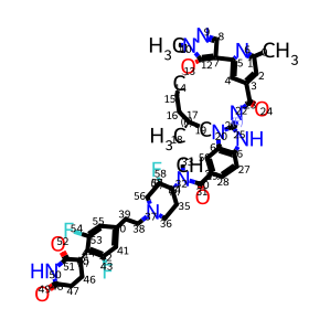 Cc1cc2cc(n1)-c1cnn(C)c1OCCC[C@@H](C)CN1/C(=N/C2=O)Nc2ccc(C(=O)N(C)[C@H]3CCN(CCc4cc(F)c([C@H]5CCC(=O)NC5=O)c(F)c4)C[C@H]3F)cc21